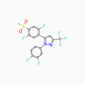 CS(=O)(=O)c1cc(F)c(-c2cc(C(F)(F)F)nn2-c2ccc(F)c(F)c2)cc1F